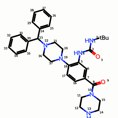 CC(C)(C)NC(=O)Nc1cc(C(=O)N2CCNCC2)ccc1N1CCN(C(c2ccccc2)c2ccccc2)CC1